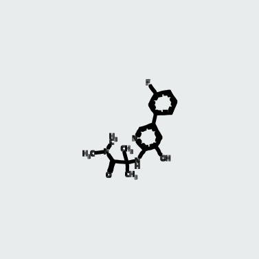 CN(C)C(=O)C(C)(C)Nc1ncc(-c2cccc(F)c2)cc1O